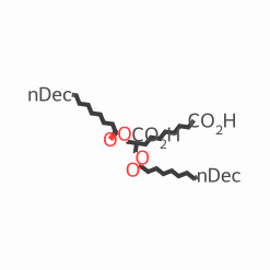 CCCCCCCCCCCCCCCCCC(=O)OCC(CCCCCCCC(=O)O)(COC(=O)CCCCCCCCCCCCCCCCC)C(=O)O